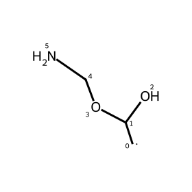 [CH2]C(O)OCN